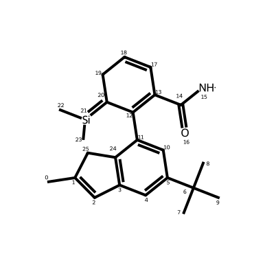 CC1=Cc2cc(C(C)(C)C)cc(C3=C(C([NH])=O)C=CCC3=[Si](C)C)c2C1